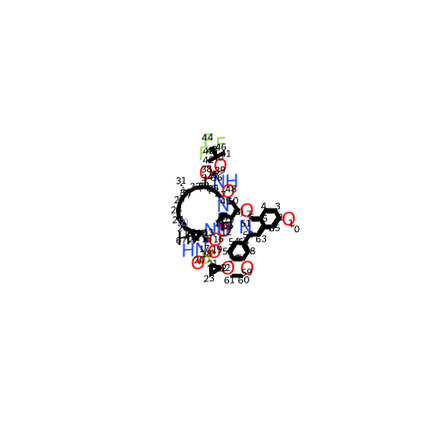 COc1ccc2c(O[C@@H]3C[C@H]4C(=O)N[C@]5(C(=O)NS(=O)(=O)C6CC6)C[C@H]5/C=C\CC[C@H](C)C[C@@H](C)[C@H](NC(=O)OC(C)(C)C(F)(F)F)C(=O)N4C3)nc(-c3ccc4c(c3)OCCO4)cc2c1